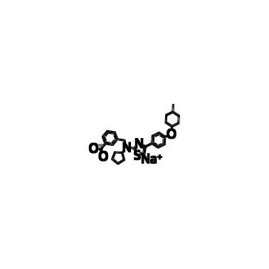 CC1CCC(Oc2ccc(-c3csc(N(Cc4cccc(C(=O)[O-])c4)C4CCCC4)n3)cc2)CC1.[Na+]